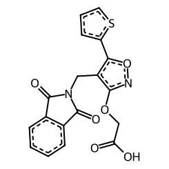 O=C(O)COc1noc(-c2cccs2)c1CN1C(=O)c2ccccc2C1=O